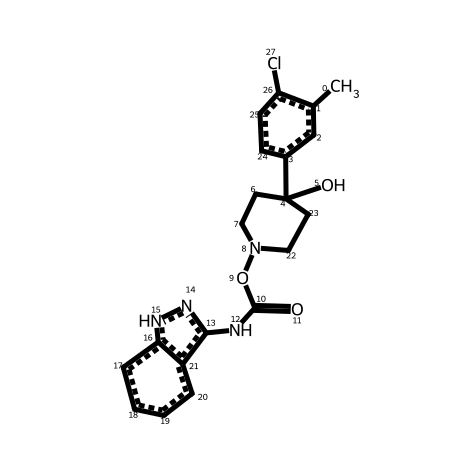 Cc1cc(C2(O)CCN(OC(=O)Nc3n[nH]c4ccccc34)CC2)ccc1Cl